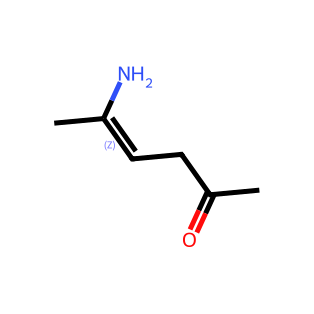 CC(=O)C/C=C(/C)N